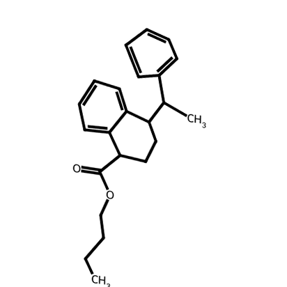 CCCCOC(=O)C1CCC(C(C)c2ccccc2)c2ccccc21